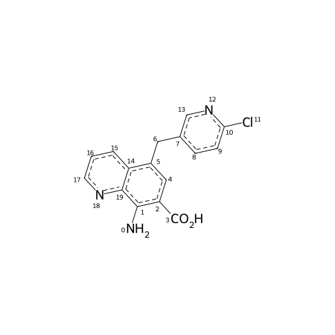 Nc1c(C(=O)O)cc(Cc2ccc(Cl)nc2)c2cccnc12